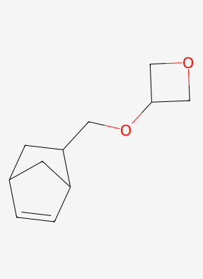 C1=CC2CC1CC2COC1COC1